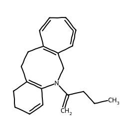 C=C(CCC)N1CC2=C(C=CC=C=C2)CCC2=C1C=CCC2